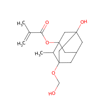 C=C(C)C(=O)OC12CC3CC(O)(CC(OCO)(C3)C1C)C2